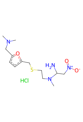 CN(C)Cc1ccc(CSCCN(C)C(N)C[N+](=O)[O-])o1.Cl